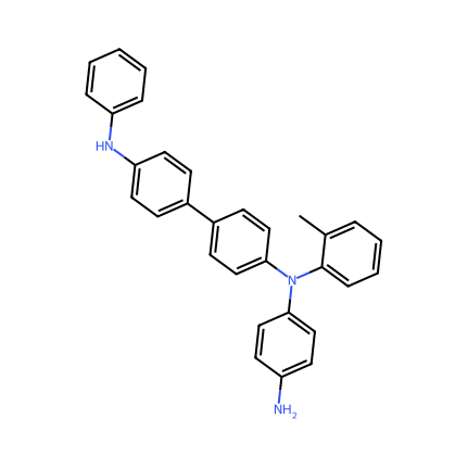 Cc1ccccc1N(c1ccc(N)cc1)c1ccc(-c2ccc(Nc3ccccc3)cc2)cc1